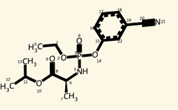 CCOP(=O)(N[C@@H](C)C(=O)OC(C)C)Oc1cccc(C#N)c1